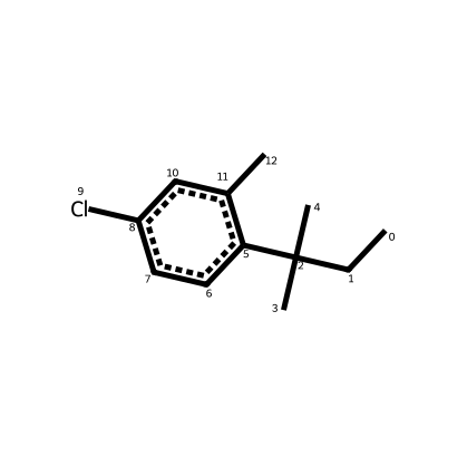 CCC(C)(C)c1ccc(Cl)cc1C